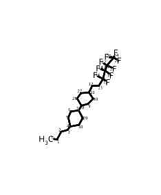 CCCCC1CCC(C2CCC(CCC(F)(F)C(F)(F)C(F)(F)C(F)(F)F)CC2)CC1